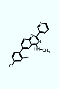 CNc1nc(-c2cccnc2)nc2ccc(-c3ccc(Cl)cc3F)cc12